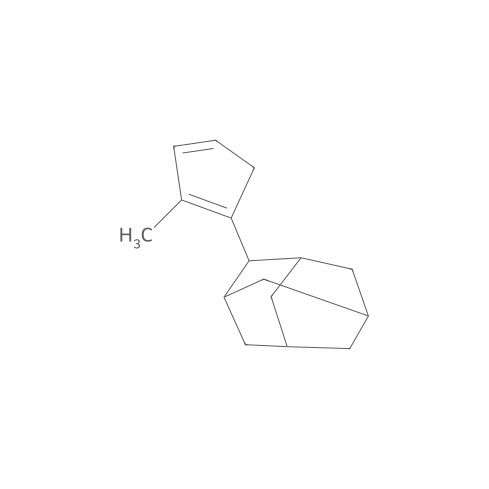 CC1=C(C2C3CC4CC(C3)CC2C4)CC=C1